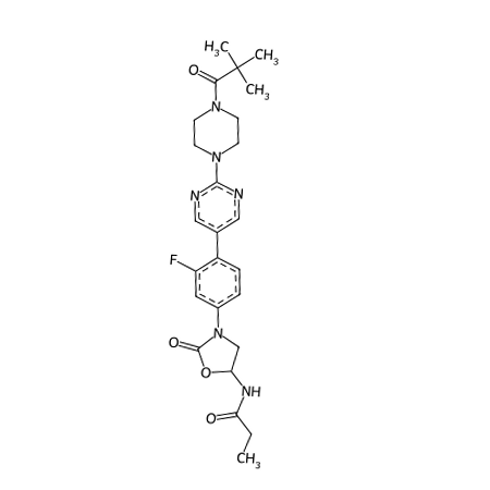 CCC(=O)NC1CN(c2ccc(-c3cnc(N4CCN(C(=O)C(C)(C)C)CC4)nc3)c(F)c2)C(=O)O1